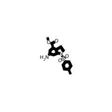 COC(=O)c1cc(N)cc2c1ccn2S(=O)(=O)c1ccc(C)cc1